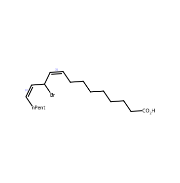 CCCCC/C=C\C(Br)/C=C\CCCCCCCC(=O)O